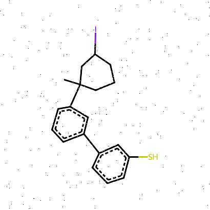 CC1(c2cccc(-c3cccc(S)c3)c2)CCCC(I)C1